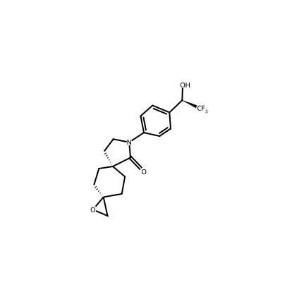 O=C1N(c2ccc([C@@H](O)C(F)(F)F)cc2)CC[C@]12CC[C@]1(CC2)CO1